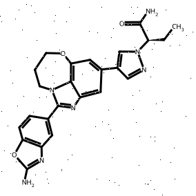 CC[C@H](C(N)=O)n1cc(-c2cc3c4c(c2)nc(-c2ccc5oc(N)nc5c2)n4CCCO3)cn1